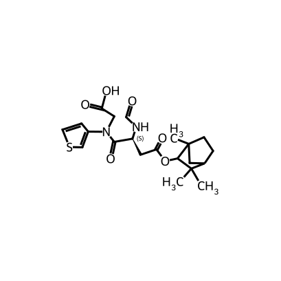 CC12CCC(C1)C(C)(C)C2OC(=O)C[C@H](NC=O)C(=O)N(CC(=O)O)c1ccsc1